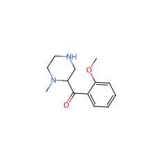 COc1ccccc1C(=O)C1CNCCN1C